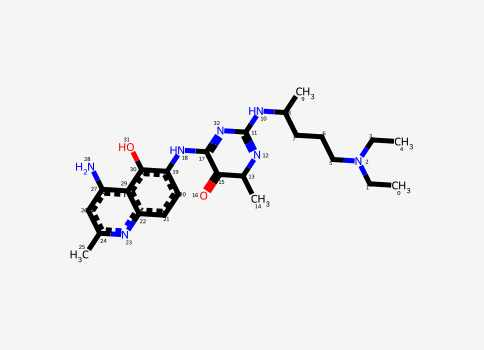 CCN(CC)CCCC(C)NC1=NC(C)C(=O)C(Nc2ccc3nc(C)cc(N)c3c2O)=N1